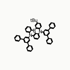 CC(C)(C)c1ccc2c(c1)B1c3ccccc3N(c3cc(-c4ccccc4)cc(-c4ccccc4)c3)c3cccc(c31)N2c1cc(-c2ccccc2)cc(-c2ccccc2)c1